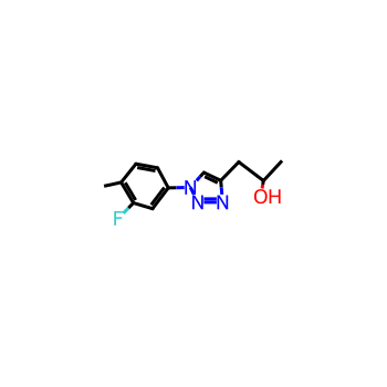 Cc1ccc(-n2cc(CC(C)O)nn2)cc1F